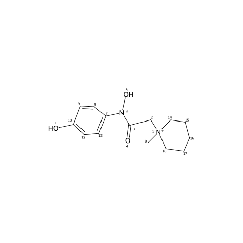 C[N+]1(CC(=O)N(O)c2ccc(O)cc2)CCCCC1